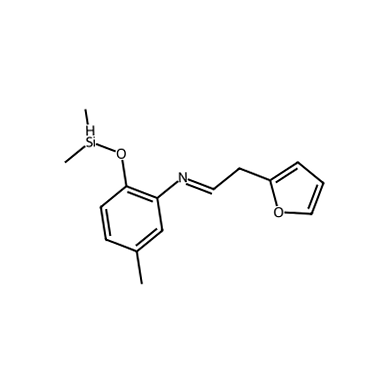 Cc1ccc(O[SiH](C)C)c(N=CCc2ccco2)c1